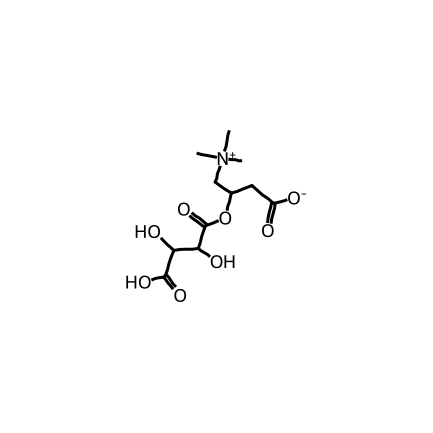 C[N+](C)(C)CC(CC(=O)[O-])OC(=O)C(O)C(O)C(=O)O